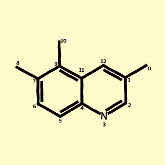 Cc1cnc2ccc(C)c(C)c2c1